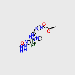 CC#CC(=O)CCC(=O)N1CCN(Cc2cc3c(N4CCCCC4)nc(-c4cnc(NC(=O)NC)cc4C(F)(F)F)nn3c2)CC1